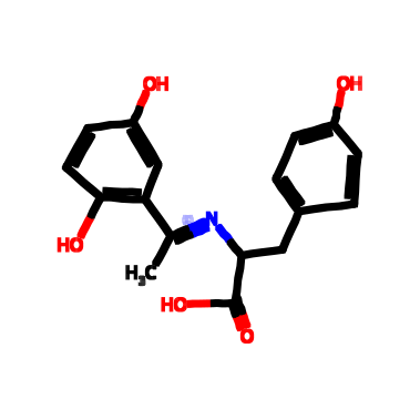 C/C(=N\C(Cc1ccc(O)cc1)C(=O)O)c1cc(O)ccc1O